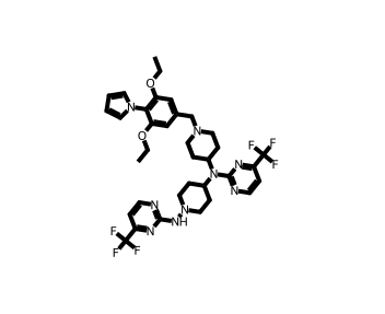 CCOc1cc(CN2CCC(N(c3nccc(C(F)(F)F)n3)C3CCN(Nc4nccc(C(F)(F)F)n4)CC3)CC2)cc(OCC)c1-n1cccc1